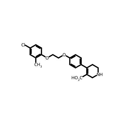 Cc1cc(Cl)ccc1OCCOc1ccc(C2=C(C(=O)O)CNCC2)cc1